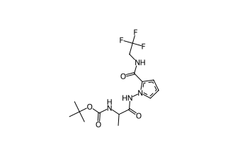 CC(NC(=O)OC(C)(C)C)C(=O)Nn1cccc1C(=O)NCC(F)(F)F